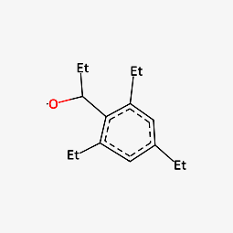 CCc1cc(CC)c(C([O])CC)c(CC)c1